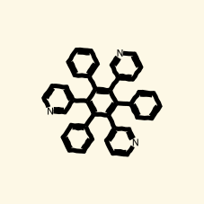 c1ccc(-c2c(-c3cccnc3)c(-c3ccccc3)c(-c3cccnc3)c(-c3ccccc3)c2-c2cccnc2)cc1